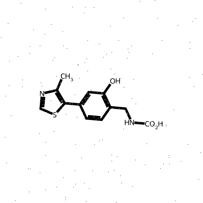 Cc1ncsc1-c1ccc(CNC(=O)O)c(O)c1